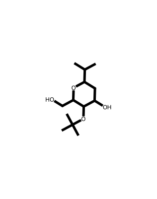 CC(C)C1CC(O)C(OC(C)(C)C)C(CO)O1